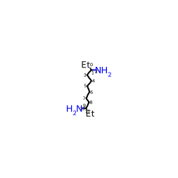 CCC(N)CCCCCCC(N)CC